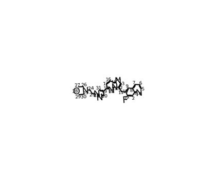 Fc1cc2ncccc2cc1Cc1cnc2ccc(-c3cnn(CCN4CCOCC4)c3)nn12